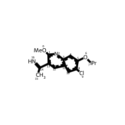 COc1nc2cc(OC(C)C)c(Cl)cc2cc1C(C)=N